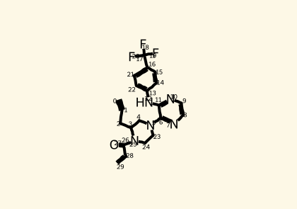 C#CCC1CN(c2nccnc2Nc2ccc(C(F)(F)F)cc2)CCN1C(=O)C=C